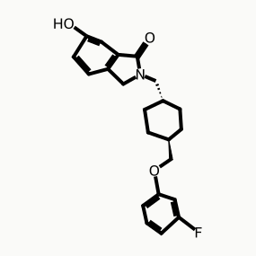 O=C1c2cc(O)ccc2CN1C[C@H]1CC[C@H](COc2cccc(F)c2)CC1